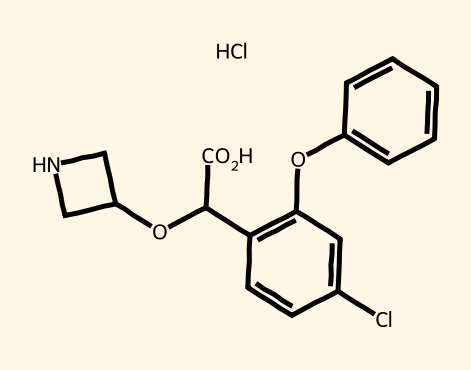 Cl.O=C(O)C(OC1CNC1)c1ccc(Cl)cc1Oc1ccccc1